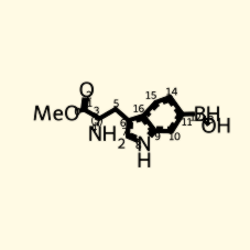 COC(=O)[C@@H](N)Cc1c[nH]c2cc(BO)ccc12